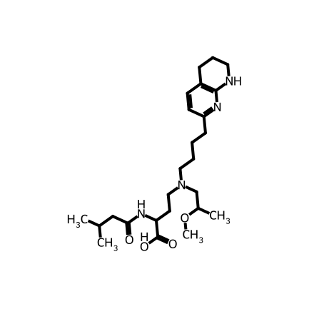 COC(C)CN(CCCCc1ccc2c(n1)NCCC2)CCC(NC(=O)CC(C)C)C(=O)O